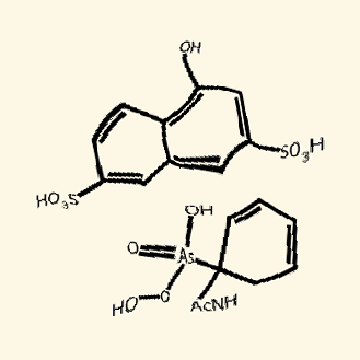 CC(=O)NC1([As](=O)(O)OO)C=CC=CC1.O=S(=O)(O)c1ccc2c(O)cc(S(=O)(=O)O)cc2c1